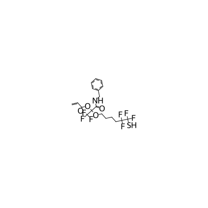 C=CC(=O)OC(OCCCCC(F)(F)C(F)(F)S)(C(=O)NCc1ccccc1)C(F)(F)F